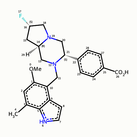 COc1cc(C)c2[nH]ccc2c1CN1C[C@H]2C[C@H](F)CN2C[C@@H]1c1ccc(C(=O)O)cc1